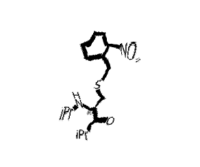 CC(C)N[C@@H](CSCc1ccccc1[N+](=O)[O-])C(=O)C(C)C